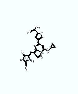 COC(=O)c1cc(-c2cc(NC3CC3)n3ncc(/C=C4\NC(=O)NC4=O)c3n2)cs1